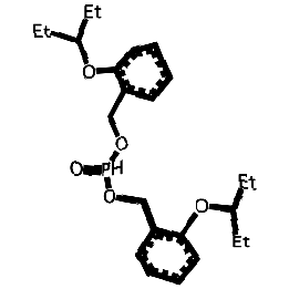 CCC(CC)Oc1ccccc1CO[PH](=O)OCc1ccccc1OC(CC)CC